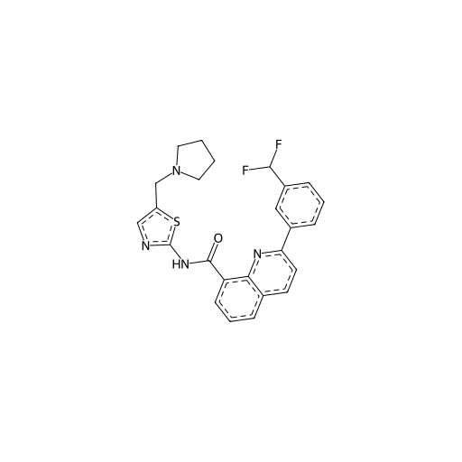 O=C(Nc1ncc(CN2CCCC2)s1)c1cccc2ccc(-c3cccc(C(F)F)c3)nc12